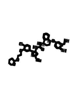 CC(C)(C)c1cc(NC(=O)N[C@H]2CC[C@@H](Oc3ccc(=N)n(C=N)c3)c3ccccc32)n(-c2ccc(Cl)c(OCCOC3CCCCO3)c2)n1